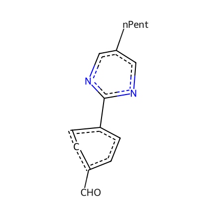 CCCCCc1cnc(-c2ccc(C=O)cc2)nc1